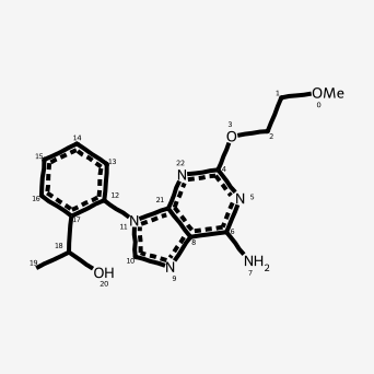 COCCOc1nc(N)c2ncn(-c3ccccc3C(C)O)c2n1